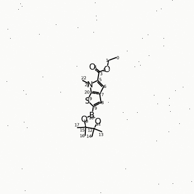 CCOC(=O)c1cc2cc(B3OC(C)(C)C(C)(C)O3)sc2n1C